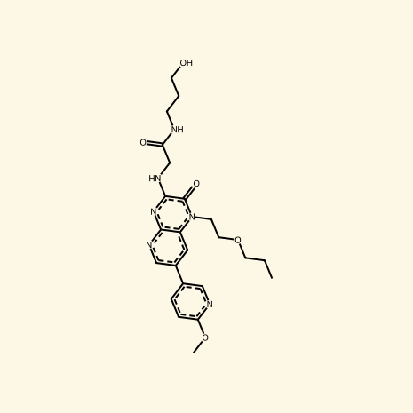 CCCOCCn1c(=O)c(NCC(=O)NCCCO)nc2ncc(-c3ccc(OC)nc3)cc21